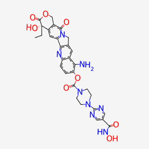 CC[C@@]1(O)C(=O)OCc2c1cc1n(c2=O)Cc2cc3c(N)c(OC(=O)N4CCN(c5ncc(C(=O)NO)cn5)CC4)ccc3nc2-1